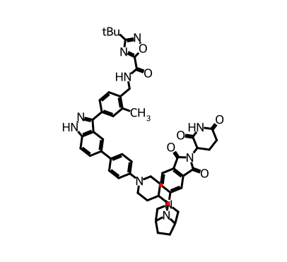 Cc1cc(-c2n[nH]c3ccc(-c4ccc(N5CCC(CN6C7CCC6CN(c6ccc8c(c6)C(=O)N(C6CCC(=O)NC6=O)C8=O)C7)CC5)cc4)cc23)ccc1CNC(=O)c1nc(C(C)(C)C)no1